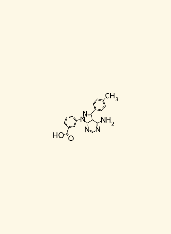 Cc1ccc(C2=NN(c3cccc(C(=O)O)c3)C3N=CN=C(N)C23)cc1